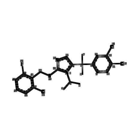 CC(C)n1c(C(C)(C)c2ccc(Cl)c(Cl)c2)cnc1SCc1c(F)cccc1Cl